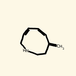 C=C1/C=C\C=C/CNCC1